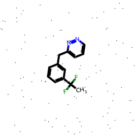 CC(F)(F)c1cccc([CH]c2cccnn2)c1